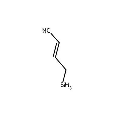 N#C/C=C/C[SiH3]